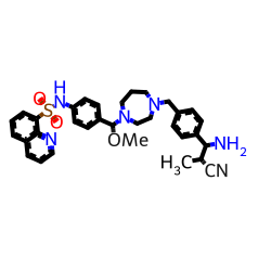 COC(c1ccc(NS(=O)(=O)c2cccc3cccnc23)cc1)N1CCCN(Cc2ccc(C(N)C(C)C#N)cc2)CC1